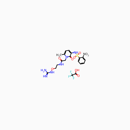 Cc1ccc(NS(=O)(=O)c2ccccc2[N+](=O)[O-])c(=O)n1CC(=O)NCCONC(=N)N.O=C(O)C(F)(F)F